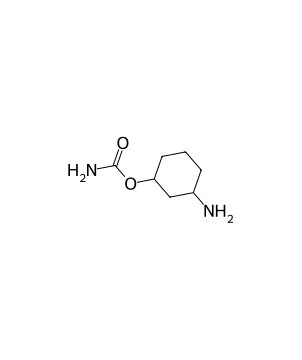 NC(=O)OC1CCCC(N)C1